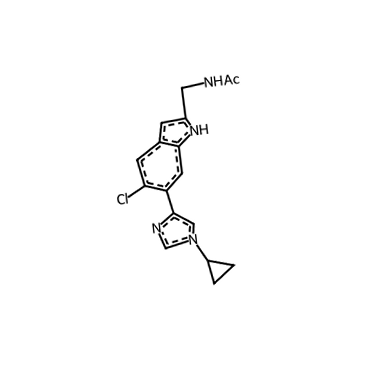 CC(=O)NCc1cc2cc(Cl)c(-c3cn(C4CC4)cn3)cc2[nH]1